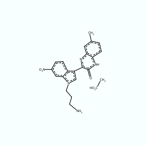 CC(=O)O.Cc1ccc2[nH]c(=O)c(-c3cn(CCCN)c4cc([N+](=O)[O-])ccc34)nc2c1